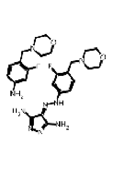 NC1=NN=C(N)C1=NNc1ccc(CN2CCOCC2)c(F)c1.Nc1ccc(CN2CCOCC2)c(F)c1